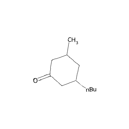 CCCCC1CC(=O)CC(C)C1